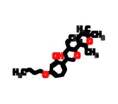 C=CC1=C(C2=C(C)OC(C)(C)CC2)OCC(C2=CCC=C(OCCCC)C=C2O)C1